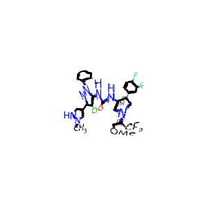 COC[C@@H](N1C[C@@H](NC(=O)Nc2c(Cl)c(C3=CN(C)NC3)nn2-c2ccccc2)[C@H](c2ccc(F)c(F)c2)C1)C(F)(F)F